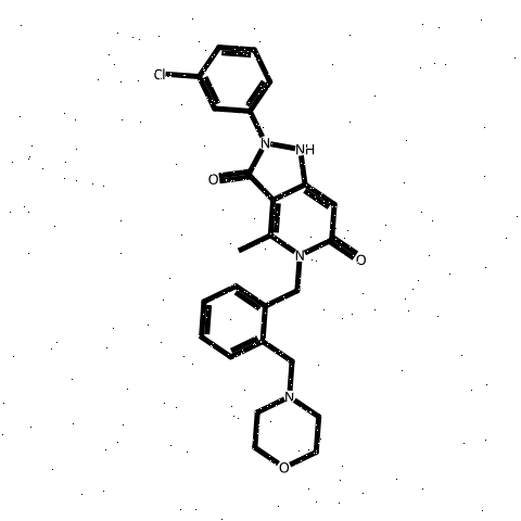 Cc1c2c(=O)n(-c3cccc(Cl)c3)[nH]c2cc(=O)n1Cc1ccccc1CN1CCOCC1